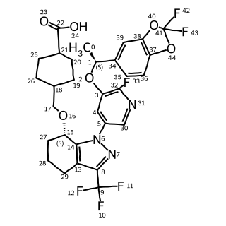 C[C@H](Oc1cc(-n2nc(C(F)(F)F)c3c2[C@@H](OCC2CCC(C(=O)O)CC2)CCC3)cnc1F)c1ccc2c(c1)OC(F)(F)O2